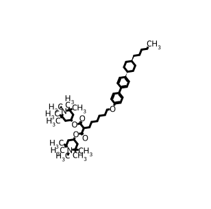 CCCCC[C@H]1CC[C@H](c2ccc(-c3ccc(OCCCCCCC(C(=O)OC4CC(C)(C)N(C)C(C)(C)C4)C(=O)OC4CC(C)(C)N(C)C(C)(C)C4)cc3)cc2)CC1